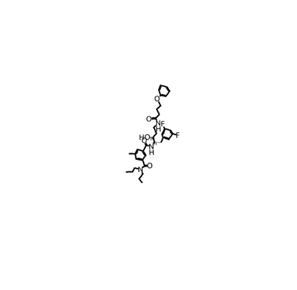 CCCN(CCC)C(=O)c1cc(C)cc(C(=O)N[C@@H](Cc2cc(F)cc(F)c2)[C@H](O)CCNC(=O)CCCOc2ccccc2)c1